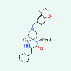 CCCCCN1C(=O)C(CC2CCCCC2)NC(=O)C12CCN(Cc1ccc3c(c1)OCCO3)CC2